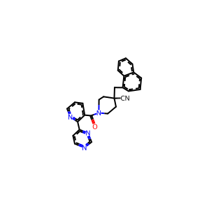 N#CC1(Cc2cccc3ccccc23)CCN(C(=O)c2cccnc2-c2ccncn2)CC1